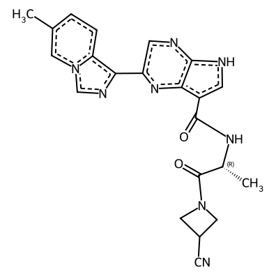 Cc1ccc2c(-c3cnc4[nH]cc(C(=O)N[C@H](C)C(=O)N5CC(C#N)C5)c4n3)ncn2c1